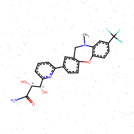 CN1Cc2cc(-c3cccc([C@H](O)[C@@H](O)C(N)=O)n3)ccc2Oc2ccc(C(F)(F)F)cc21